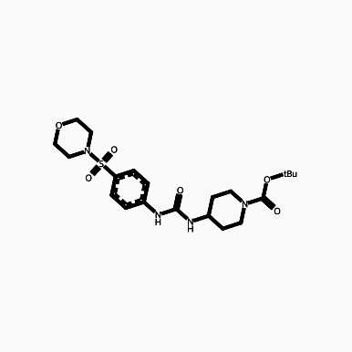 CC(C)(C)OC(=O)N1CCC(NC(=O)Nc2ccc(S(=O)(=O)N3CCOCC3)cc2)CC1